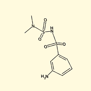 CN(C)S(=O)(=O)NS(=O)(=O)c1cccc(N)c1